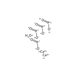 O.O=P[O-].O=P[O-].O=P[O-].O=P[O-].[Ca+2].[Ca+2]